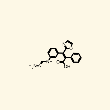 NN=CNc1cccc(C(=C(C(=O)O)c2ccccc2)c2ncco2)c1